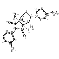 O=C1[C@@H]2[C@H]3C[C@H](C[C@@H]3c3ccc([N+](=O)[O-])cc3)[C@@H]2C(=O)N1c1cccc(C(F)(F)F)c1